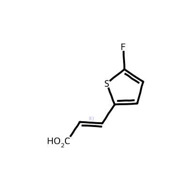 O=C(O)/C=C/c1ccc(F)s1